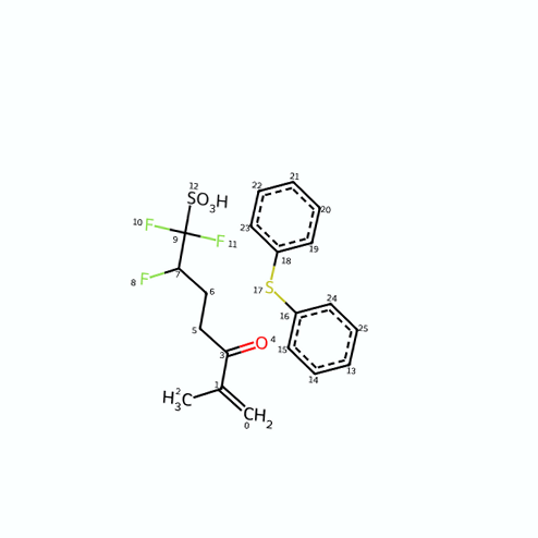 C=C(C)C(=O)CCC(F)C(F)(F)S(=O)(=O)O.c1ccc(Sc2ccccc2)cc1